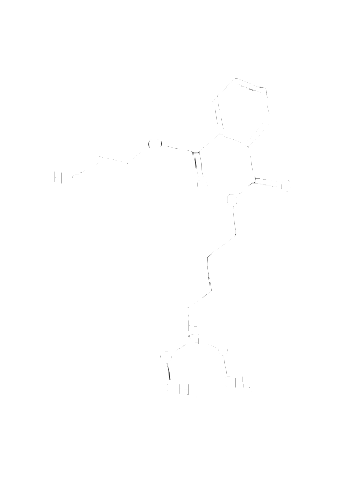 C=CCOC(=O)c1ccccc1C(=O)OCCCC[SiH](OC)OC